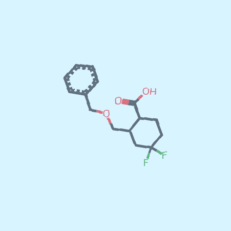 O=C(O)C1CCC(F)(F)CC1COCc1ccccc1